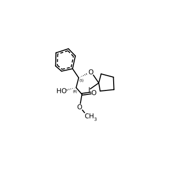 COC(=O)[C@H](O)[C@@H](OC1(I)CCCC1)c1ccccc1